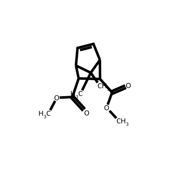 COC(=O)C1C(C(=O)OC)C2C=CC1C2(C)C